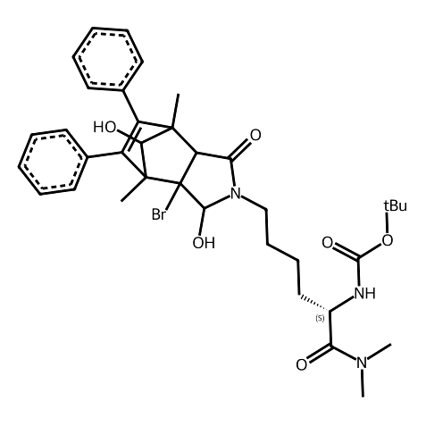 CN(C)C(=O)[C@H](CCCCN1C(=O)C2C3(C)C(c4ccccc4)=C(c4ccccc4)C(C)(C3O)C2(Br)C1O)NC(=O)OC(C)(C)C